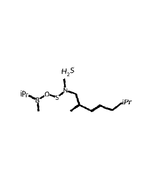 CB(OSN(C)CC(C)CCCC(C)C)C(C)C.S